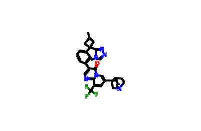 CC1CC(c2cccc(-c3cnc4c(C(F)(F)F)cc(C5CN6CCC5CC6)cn4c3=O)c2)(c2nncn2C)C1